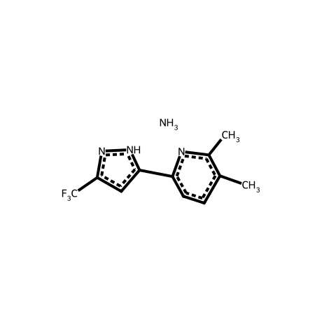 Cc1ccc(-c2cc(C(F)(F)F)n[nH]2)nc1C.N